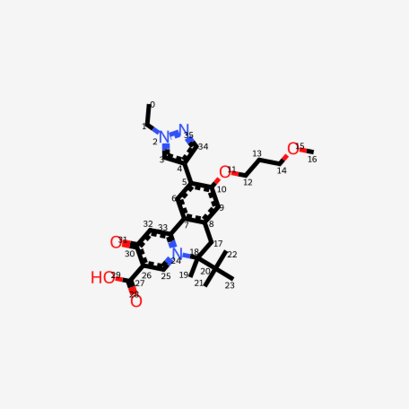 CCn1cc(-c2cc3c(cc2OCCCOC)CC(C)(C(C)(C)C)n2cc(C(=O)O)c(=O)cc2-3)cn1